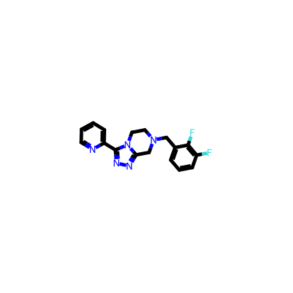 Fc1cccc(CN2CCn3c(nnc3-c3ccccn3)C2)c1F